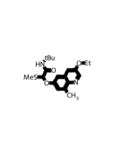 CCOc1cnc2c(C)cc(OC(SC)C(=O)NC(C)(C)C)cc2c1